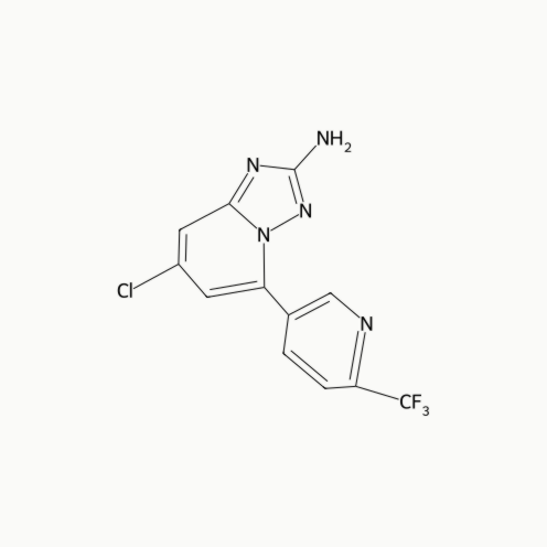 Nc1nc2cc(Cl)cc(-c3ccc(C(F)(F)F)nc3)n2n1